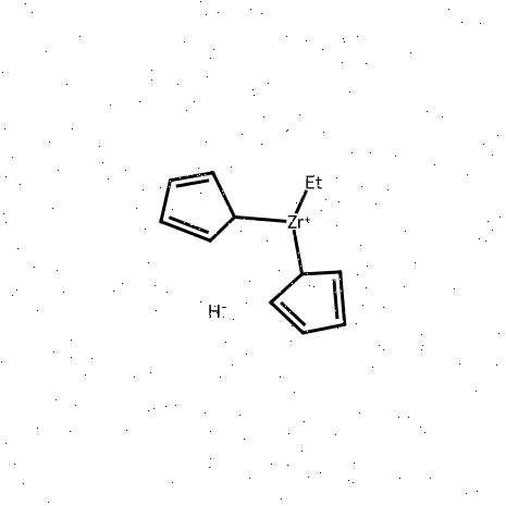 C[CH2][Zr+]([CH]1C=CC=C1)[CH]1C=CC=C1.[H-]